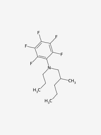 CCCC(C)CN(CCC)c1c(F)c(F)c(F)c(F)c1F